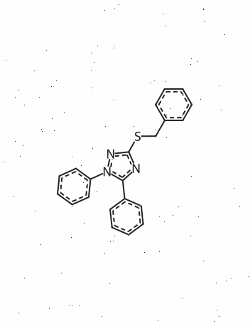 c1ccc(CSc2nc(-c3ccccc3)n(-c3ccccc3)n2)cc1